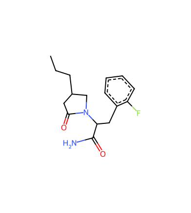 CCCC1CC(=O)N(C(Cc2ccccc2F)C(N)=O)C1